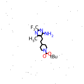 Cc1nc(C(F)(F)F)nc(N)c1CCC1CCN(C(=O)OC(C)(C)C)CC1